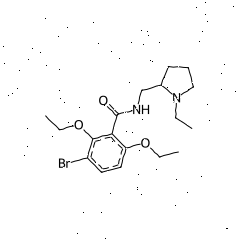 CCOc1ccc(Br)c(OCC)c1C(=O)NCC1CCCN1CC